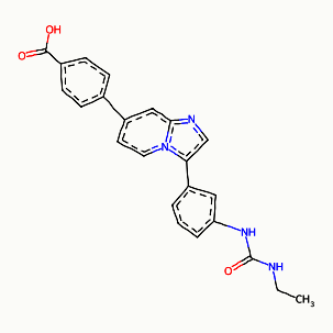 CCNC(=O)Nc1cccc(-c2cnc3cc(-c4ccc(C(=O)O)cc4)ccn23)c1